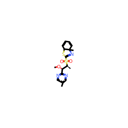 CO[C@H](c1ncc(C)cn1)[C@H](C)S(=O)(=O)C1=NC2(C)C=CC=CC2S1